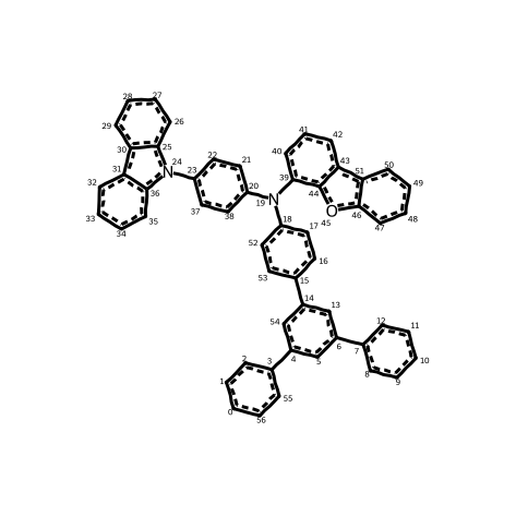 c1ccc(-c2cc(-c3ccccc3)cc(-c3ccc(N(c4ccc(-n5c6ccccc6c6ccccc65)cc4)c4cccc5c4oc4ccccc45)cc3)c2)cc1